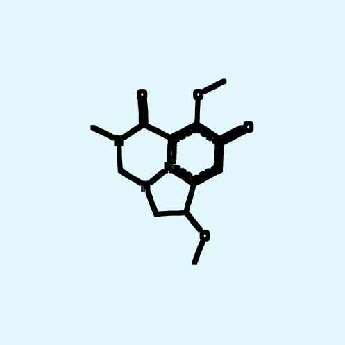 COc1c2n3c(cc1=O)C(OC)CN3CN(C)C2=O